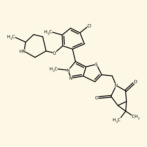 Cc1cc(Cl)cc(-c2c3sc(CN4C(=O)C5C(C4=O)C5(C)C)cc3nn2C)c1OC1CCC(C)NC1